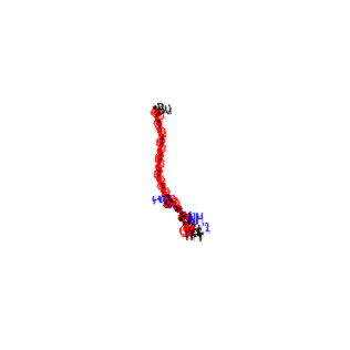 CCCN(OCC)C(=O)C1=Cc2ccc(-c3ccc(C(=O)N4CCC[C@@H]4C(=O)NCCOCCOCCOCCOCCOCCOCCOCCOCCOCCOCCC(=O)OC(C)(C)C)cc3)cc2N=C(N)C1